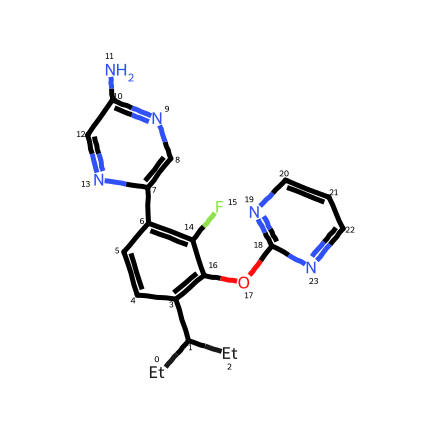 CCC(CC)c1ccc(-c2cnc(N)cn2)c(F)c1Oc1ncccn1